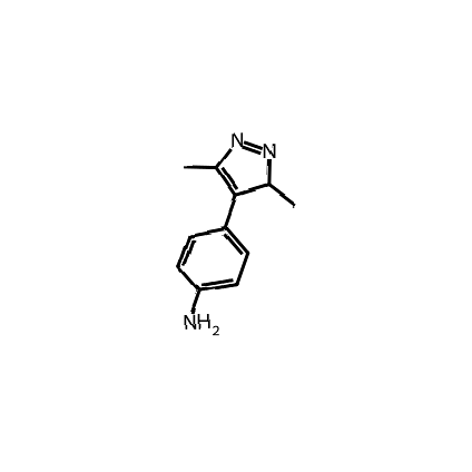 CC1=C(c2ccc(N)cc2)C(C)N=N1